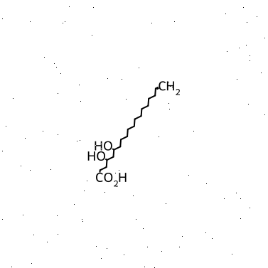 C=CCCCCCCCCCCCC(O)CC(O)CCC(=O)O